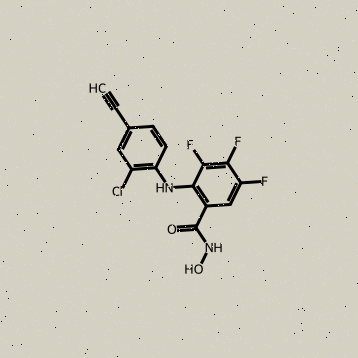 C#Cc1ccc(Nc2c(C(=O)NO)cc(F)c(F)c2F)c(Cl)c1